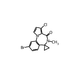 CN1C(=O)c2c(Cl)ccn2-c2cc(Br)ccc2C12CC2